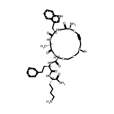 CC(C)N1CC#CCN(N)C(=O)N[C@H](Cc2c[nH]c3ccccc23)C(=O)N[C@@H](C)C(=O)N[C@H](C(=O)N[C@H](CCc2ccccc2)C(=O)N[C@@H](CCCCN)C(N)=O)CCCC1